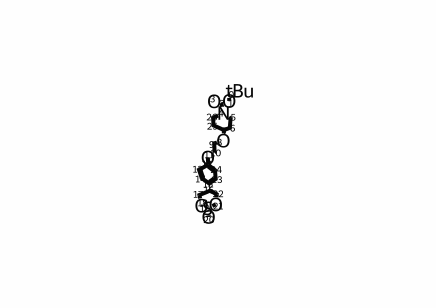 CC(C)(C)OC(=O)N1CCC(OCCOc2ccc([C@H]3CO[S@](=O)OC3)cc2)CC1